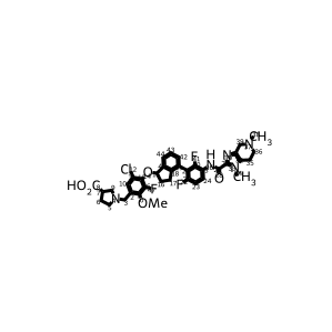 COc1c(CN2CCC(C(=O)O)C2)cc(Cl)c(OC2CCc3c(-c4c(F)ccc(NC(=O)c5nc6c(n5C)CCN(C)C6)c4F)cccc32)c1F